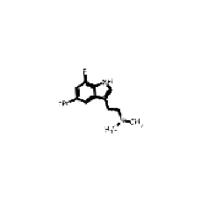 CCCc1cc(F)c2[nH]cc(CCN(C)C)c2c1